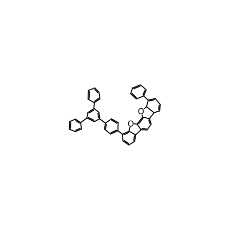 C1=CC2c3ccc4c(oc5c(-c6ccc(-c7cc(-c8ccccc8)cc(-c8ccccc8)c7)cc6)cccc54)c3OC2C(c2ccccc2)=C1